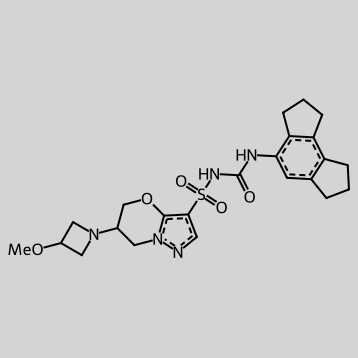 COC1CN(C2COc3c(S(=O)(=O)NC(=O)Nc4cc5c(c6c4CCC6)CCC5)cnn3C2)C1